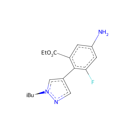 CCOC(=O)c1cc(N)cc(F)c1-c1cnn([C@H](C)CC)c1